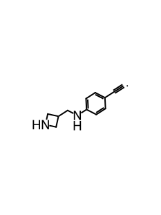 [C]#Cc1ccc(NCC2CNC2)cc1